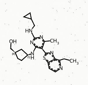 CCc1nccc2sc(-c3c(C)nc(NCC4CC4)nc3N[C@H]3CC[C@@H](CO)C3)nc12